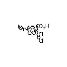 O=C(O)CCN(CCc1ccc(Cl)cc1Cl)C(=O)c1ccccc1-c1ccccc1C(=O)NCc1cccnc1